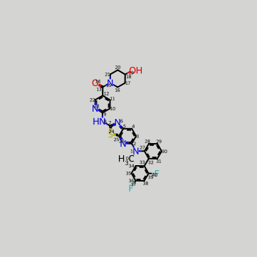 CN(c1ccc2nc(Nc3ccc(C(=O)N4CCC(O)CC4)cn3)sc2n1)c1ccccc1-c1ccc(F)cc1F